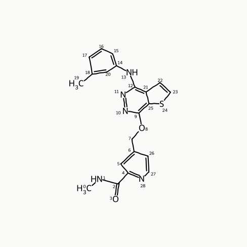 CNC(=O)c1cc(COc2nnc(Nc3cccc(C)c3)c3ccsc23)ccn1